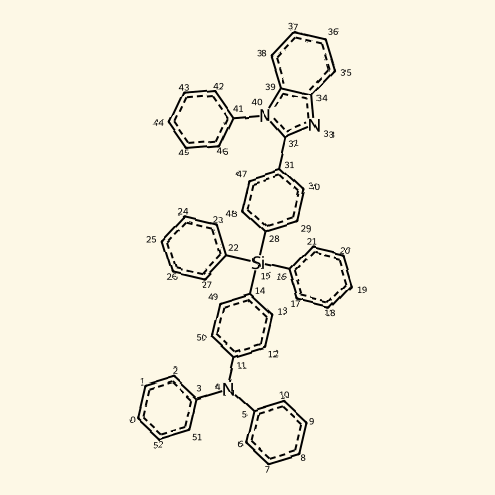 c1ccc(N(c2ccccc2)c2ccc([Si](c3ccccc3)(c3ccccc3)c3ccc(-c4nc5ccccc5n4-c4ccccc4)cc3)cc2)cc1